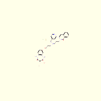 CCN1C(=O)C(C)(C)C(=O)N(C)c2cc(OCCCN(CCCn3ccc4ccccc4c3=O)Cc3ccncc3)ccc21.Cl.Cl